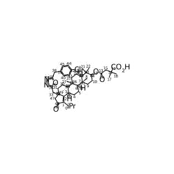 CC(C)C1=C2[C@H]3CC[C@@H]4[C@@]5(C)CC[C@H](OC(=O)CC(C)(C)C(=O)O)C(C)(C)[C@@H]5CC[C@@]4(C)[C@]3(C)CC[C@@]2(Cc2nnc(Cc3ccc(Cl)cc3)o2)CC1=O